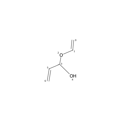 C=CO[C](O)C=C